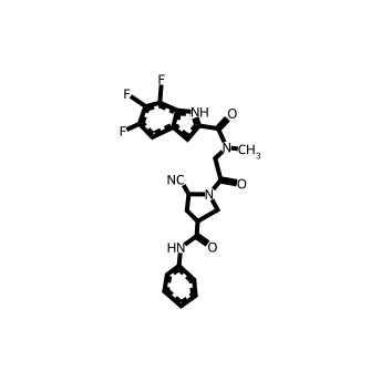 CN(CC(=O)N1CC(C(=O)Nc2ccccc2)CC1C#N)C(=O)c1cc2cc(F)c(F)c(F)c2[nH]1